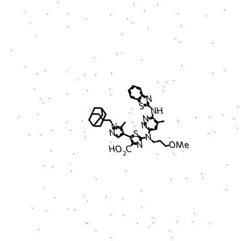 COCCCN(c1cc(C)c(Nc2nc3ccccc3s2)nn1)c1nc(C(=O)O)c(-c2cnn(CC34CC5CC(CC(C5)C3)C4)c2C)s1